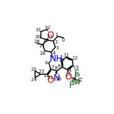 CCC1CC(NCc2c(-c3ccccc3OC(F)(F)F)noc2C2CC2)CC(C)C12CCCO2